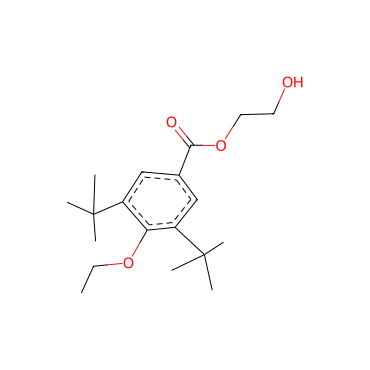 CCOc1c(C(C)(C)C)cc(C(=O)OCCO)cc1C(C)(C)C